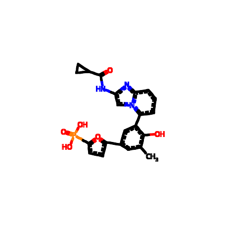 Cc1cc(-c2ccc(P(=O)(O)O)o2)cc(-c2cccc3nc(NC(=O)C4CC4)cn23)c1O